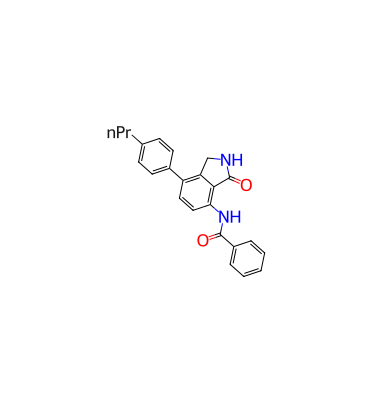 CCCc1ccc(-c2ccc(NC(=O)c3ccccc3)c3c2CNC3=O)cc1